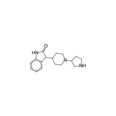 O=C1Nc2ccccc2C1C1CCN(C2CCNC2)CC1